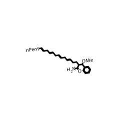 CCCCCC=CCC=CCC=CCC=CCCC(C(N)=O)C(OC)c1ccccc1